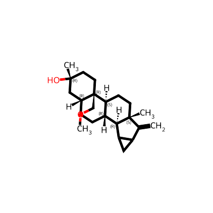 C=C1C2CC2[C@H]2[C@@H]3CC[C@@H]4C[C@](C)(O)CC[C@]4(COC)[C@H]3CC[C@]12C